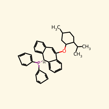 CC1CCC(C(C)C)C(OC2=Cc3ccccc3[C@@H](P(c3ccccc3)c3ccccc3)c3ccccc32)C1